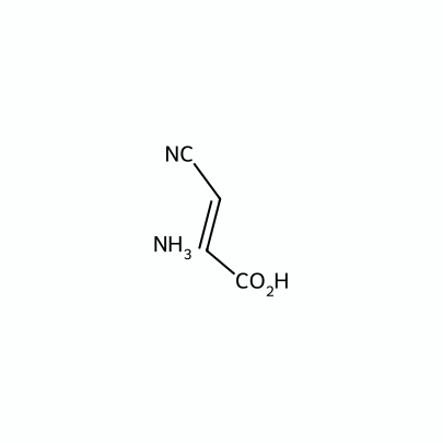 N.N#CC=CC(=O)O